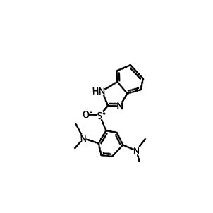 CN(C)c1ccc(N(C)C)c([S+]([O-])c2nc3ccccc3[nH]2)c1